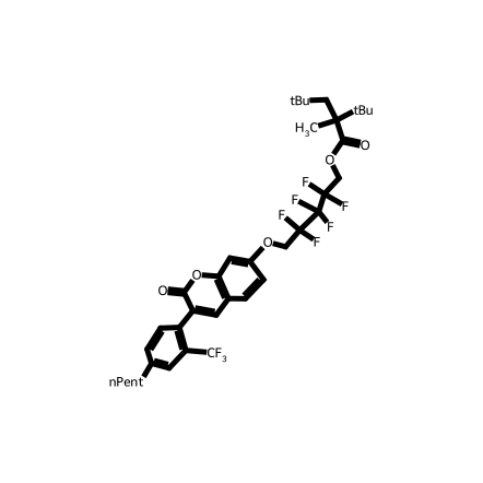 CCCCCc1ccc(-c2cc3ccc(OCC(F)(F)C(F)(F)C(F)(F)COC(=O)C(C)(CC(C)(C)C)C(C)(C)C)cc3oc2=O)c(C(F)(F)F)c1